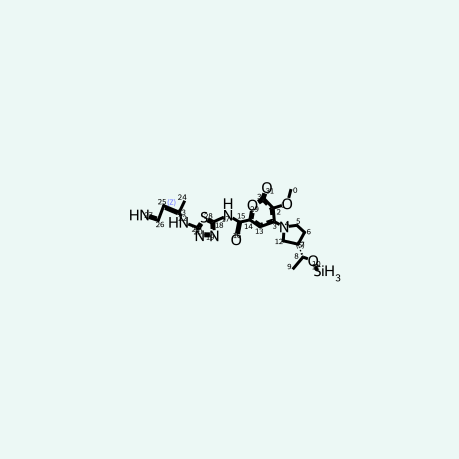 COc1c(N2CC[C@H](C(C)O[SiH3])C2)cc(C(=O)Nc2nnc(N/C(C)=C\C=N)s2)oc1=O